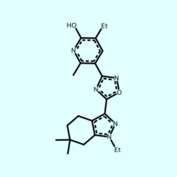 CCc1cc(-c2noc(-c3nn(CC)c4c3CCC(C)(C)C4)n2)c(C)nc1O